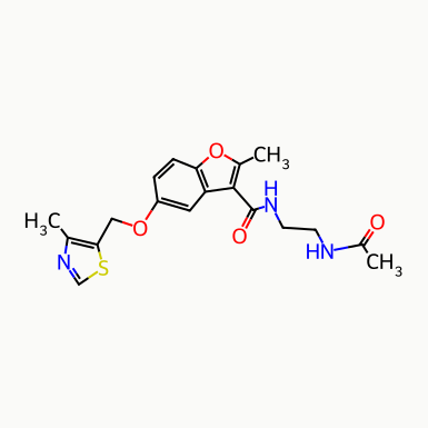 CC(=O)NCCNC(=O)c1c(C)oc2ccc(OCc3scnc3C)cc12